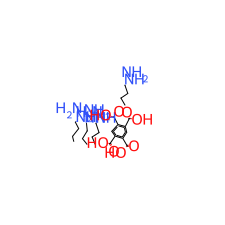 CCCCNN.CCCCNN.CCCCNN.CCCCNN.O=C(O)c1cc(C(=O)O)c(C(=O)O)cc1C(=O)O